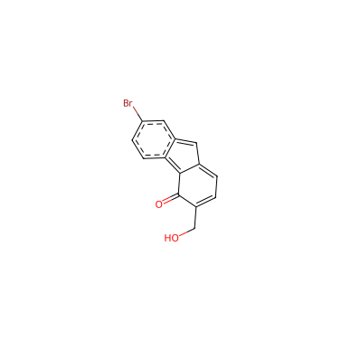 O=C1C(CO)=CC=C2C=c3cc(Br)ccc3=C12